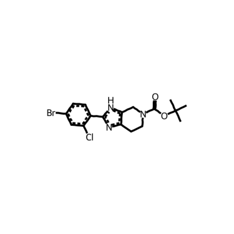 CC(C)(C)OC(=O)N1CCc2nc(-c3ccc(Br)cc3Cl)[nH]c2C1